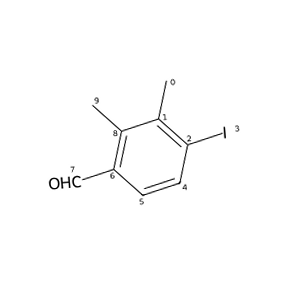 Cc1c(I)ccc(C=O)c1C